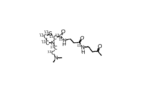 CC(=O)CC[15NH]C(=O)CC[15NH][13C](=O)[13CH]1[13CH2][13CH2][13CH2]N1[13CH2][13CH2]N(C)C